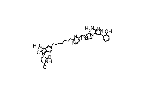 Cn1c(=O)n(C2CCC(=O)NC2=O)c2ccc(CCCCCCCc3nccc(CC4CC5CN(c6cc(-c7ccccc7O)nnc6N)CC4N5)n3)cc21